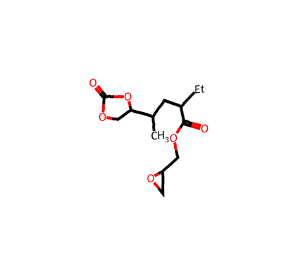 CCC(CC(C)C1COC(=O)O1)C(=O)OCC1CO1